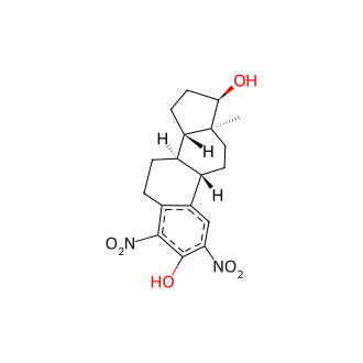 C[C@]12CC[C@@H]3c4cc([N+](=O)[O-])c(O)c([N+](=O)[O-])c4CC[C@H]3[C@@H]1CC[C@H]2O